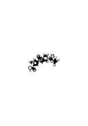 COC(=O)[C@H]1C[C@H](N2CC3CN(C(=O)OC(C)(C)C)CCN3C2=O)CN1C